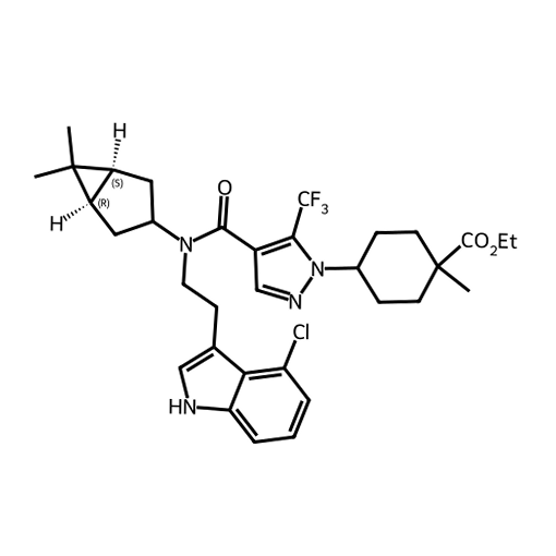 CCOC(=O)C1(C)CCC(n2ncc(C(=O)N(CCc3c[nH]c4cccc(Cl)c34)C3C[C@@H]4[C@H](C3)C4(C)C)c2C(F)(F)F)CC1